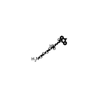 NCCOCCOCCOCCOCCC(=O)NCCCCCC(=O)N1Cc2ccccc2C2=C(C2)c2ccccc21